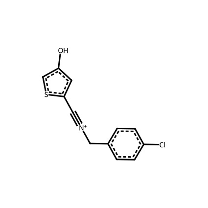 Oc1csc(C#[N+]Cc2ccc(Cl)cc2)c1